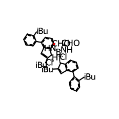 CCC(C)C1=Cc2c(-c3ccccc3C(C)CC)cccc2[CH]1[Hf]([Cl])([Cl])([B](NC=O)NC=O)[CH]1C(C(C)CC)=Cc2c(-c3ccccc3C(C)CC)cccc21